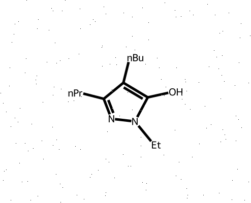 CCCCc1c(CCC)nn(CC)c1O